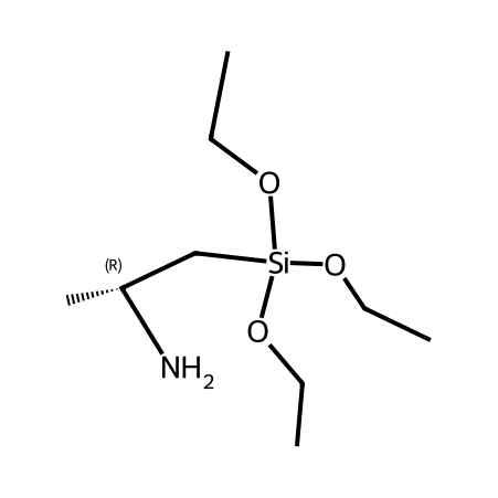 CCO[Si](C[C@@H](C)N)(OCC)OCC